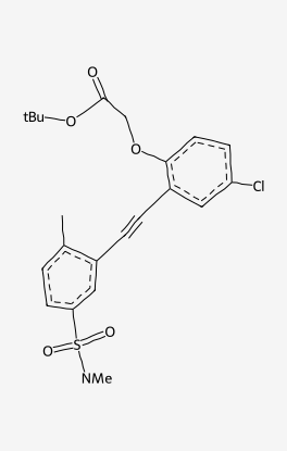 CNS(=O)(=O)c1ccc(C)c(C#Cc2cc(Cl)ccc2OCC(=O)OC(C)(C)C)c1